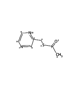 CC(=O)SCc1cnccn1